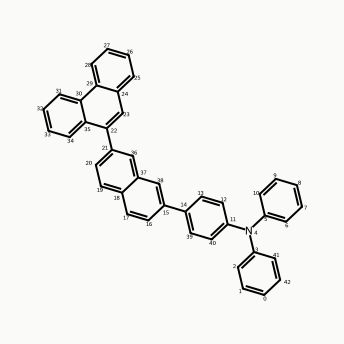 c1ccc(N(c2ccccc2)c2ccc(-c3ccc4ccc(-c5cc6ccccc6c6ccccc56)cc4c3)cc2)cc1